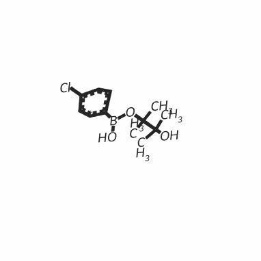 CC(C)(O)C(C)(C)OB(O)c1ccc(Cl)cc1